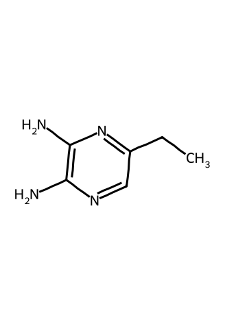 CCc1cnc(N)c(N)n1